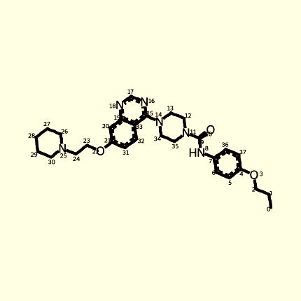 CCCOc1ccc(NC(=O)N2CCN(c3ncnc4cc(OCCN5CCCCC5)ccc34)CC2)cc1